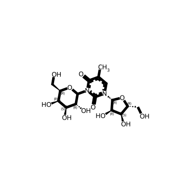 Cc1cn([C@@H]2O[C@H](CO)[C@@H](O)[C@H]2O)c(=O)n(C2O[C@H](CO)[C@H](O)[C@H](O)[C@H]2O)c1=O